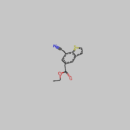 CCOC(=O)c1cc(C#N)c2sccc2c1